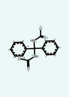 O=C(Cl)NC(NC(=O)Cl)(c1ccccc1)c1ccccc1